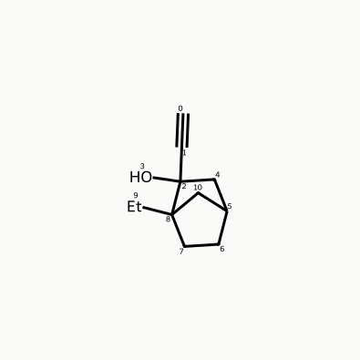 C#CC1(O)CC2CCC1(CC)C2